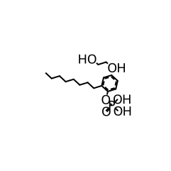 CCCCCCCCc1ccccc1OP(=O)(O)O.OCCO